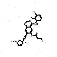 C/C=C/C(=O)Nc1cc2c(Nc3cccc(Cl)c3F)ncnc2cc1C#C[C@@]1(C)CCN(C)C1